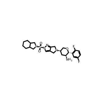 N[C@H]1C[C@@H](N2Cc3cn(S(=O)(=O)N4CC5CCCCC5C4)nc3C2)CO[C@@H]1c1cc(F)ccc1F